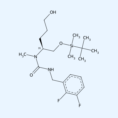 CN(C(=O)NCc1cccc(F)c1F)[C@@H](CCCO)CO[Si](C)(C)C(C)(C)C